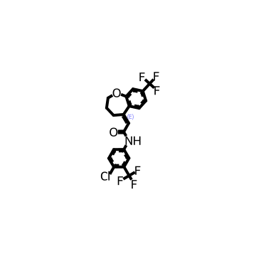 O=C(/C=C1\CCCOc2cc(C(F)(F)F)ccc21)Nc1ccc(Cl)c(C(F)(F)F)c1